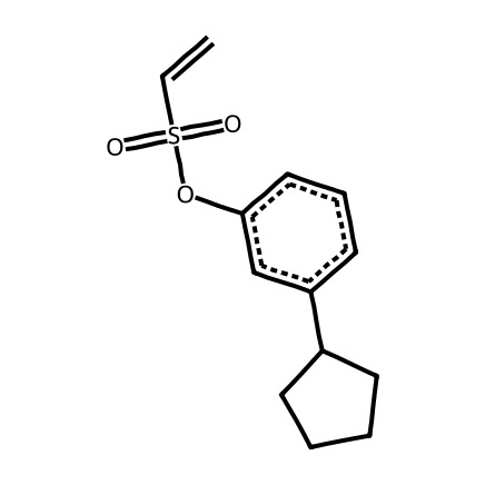 C=CS(=O)(=O)Oc1cccc(C2CCCC2)c1